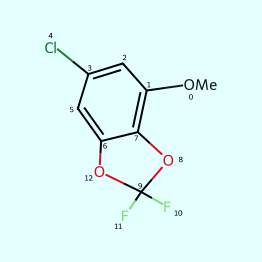 COc1cc(Cl)cc2c1OC(F)(F)O2